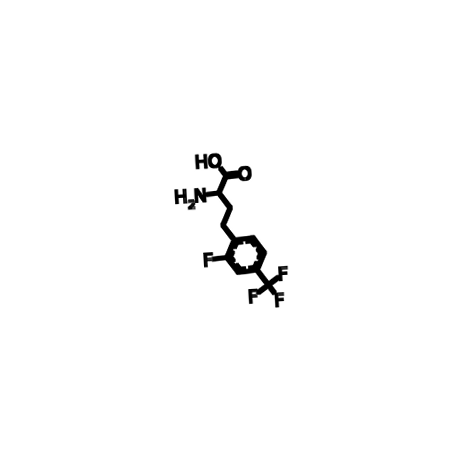 NC(CCc1ccc(C(F)(F)F)cc1F)C(=O)O